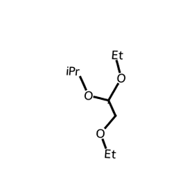 CCOC[C](OCC)OC(C)C